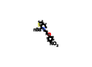 CCCCC1c2sccc2CCN1CCCOc1ccc([N+](=O)[O-])cc1